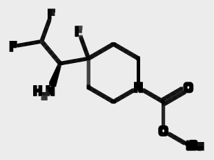 CC(C)(C)OC(=O)N1CCC(F)([C@@H](N)C(F)F)CC1